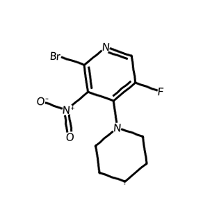 O=[N+]([O-])c1c(Br)ncc(F)c1N1CC[CH]CC1